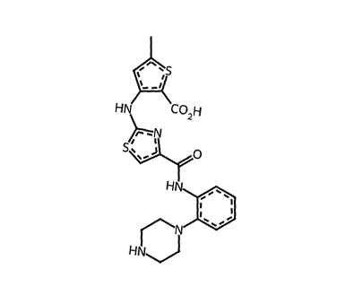 Cc1cc(Nc2nc(C(=O)Nc3ccccc3N3CCNCC3)cs2)c(C(=O)O)s1